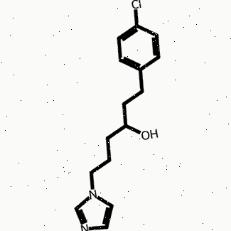 OC(CCCn1ccnc1)CCc1ccc(Cl)cc1